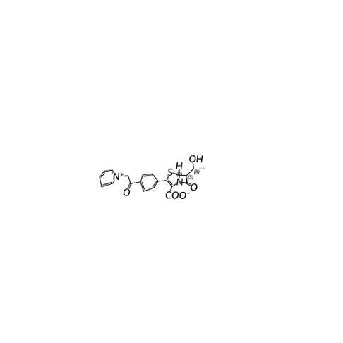 C[C@@H](O)[C@H]1C(=O)N2C(C(=O)[O-])=C(c3ccc(C(=O)C[n+]4ccccc4)cc3)S[C@H]12